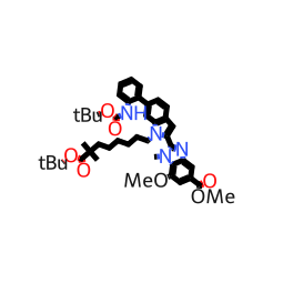 COC(=O)c1cc(OC)c2c(c1)nc(-c1cc3ccc(-c4ccccc4NC(=O)OC(C)(C)C)cc3n1CCCCCCC(C)(C)C(=O)OC(C)(C)C)n2C